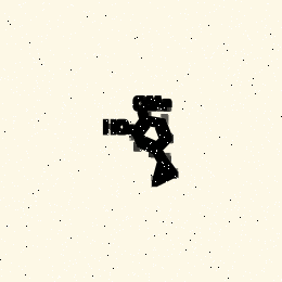 COc1ccc(C2CC2)cc1O